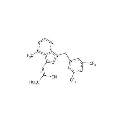 N#C/C(=C\c1cn(Cc2cc(C(F)(F)F)cc(C(F)(F)F)c2)c2nccc(C(F)(F)F)c12)C(=O)O